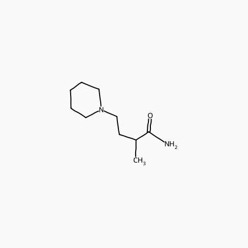 CC(CCN1CCCCC1)C(N)=O